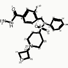 NNC(=O)c1ccc(CN(c2ccccc2)S(=O)(=O)C2CCN(C3COC3)CC2)c(F)c1